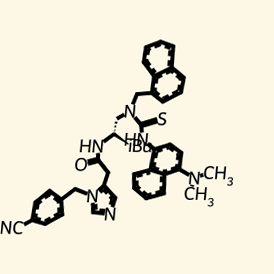 CC[C@H](C)[C@@H](CN(Cc1cccc2ccccc12)C(=S)Nc1ccc(N(C)C)c2ccccc12)NC(=O)Cc1cncn1Cc1ccc(C#N)cc1